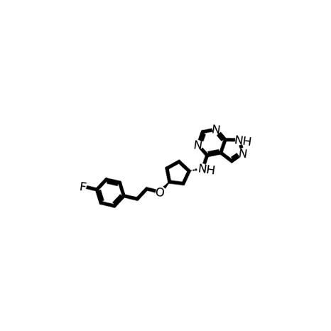 Fc1ccc(CCO[C@H]2CC[C@H](Nc3ncnc4[nH]ncc34)C2)cc1